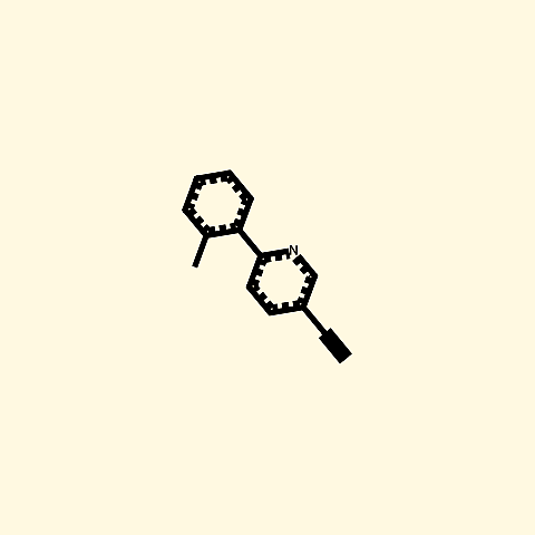 C#Cc1ccc(-c2ccccc2C)nc1